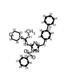 CSC(=Nc1nc(Cc2ccc(-c3ccccc3)cc2)nn1S(=O)(=O)c1ccccc1)N1CCOCC1